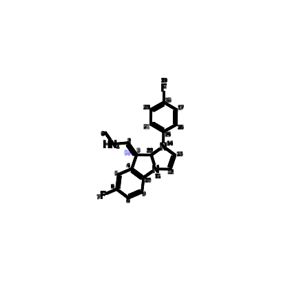 CN/C=C1\c2cc(F)ccc2N2C=CN(c3ccc(F)cc3)C12